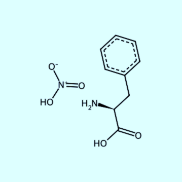 N[C@@H](Cc1ccccc1)C(=O)O.O=[N+]([O-])O